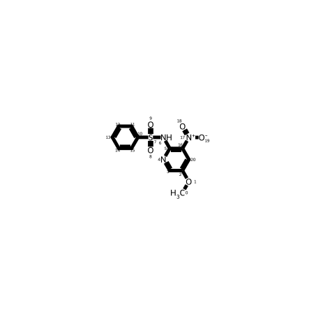 COc1cnc(NS(=O)(=O)c2ccccc2)c([N+](=O)[O-])c1